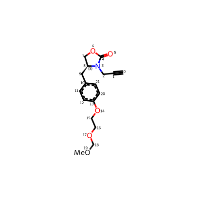 C#CCN1C(=O)OC[C@@H]1Cc1ccc(OCCOCOC)cc1